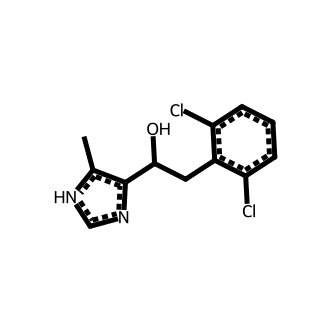 Cc1[nH]cnc1C(O)Cc1c(Cl)cccc1Cl